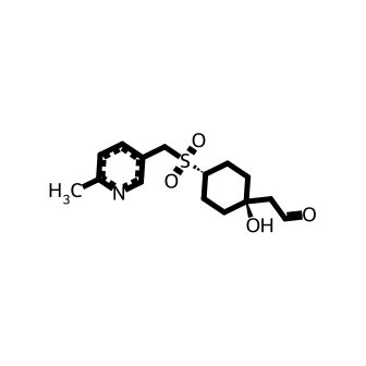 Cc1ccc(CS(=O)(=O)[C@H]2CC[C@@](O)(CC=O)CC2)cn1